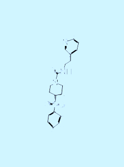 O=C(NCCc1cccnc1)N1CCC(S(=O)(=O)c2ccccc2)CC1